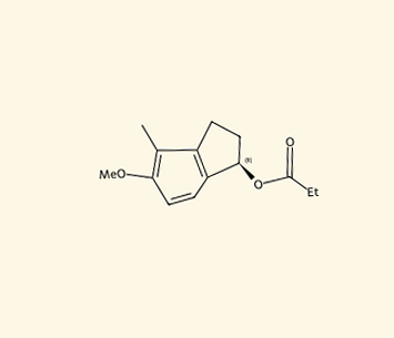 CCC(=O)O[C@@H]1CCc2c1ccc(OC)c2C